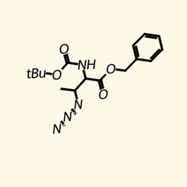 CC(N=[N+]=[N-])C(NC(=O)OC(C)(C)C)C(=O)OCc1ccccc1